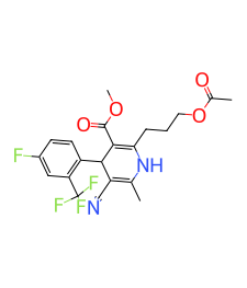 COC(=O)C1=C(CCCOC(C)=O)NC(C)=C(C#N)C1c1ccc(F)cc1C(F)(F)F